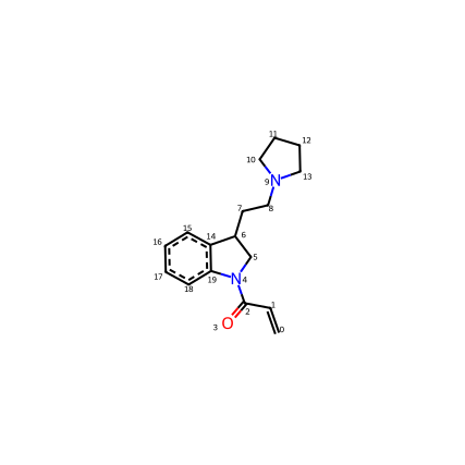 C=CC(=O)N1CC(CCN2CCCC2)c2ccccc21